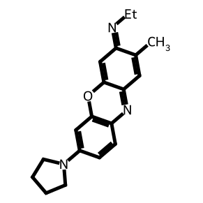 CC/N=c1/cc2oc3cc(N4CCCC4)ccc3nc-2cc1C